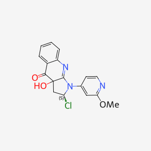 COc1cc(N2C3=Nc4ccccc4C(=O)C3(O)C[C@@H]2Cl)ccn1